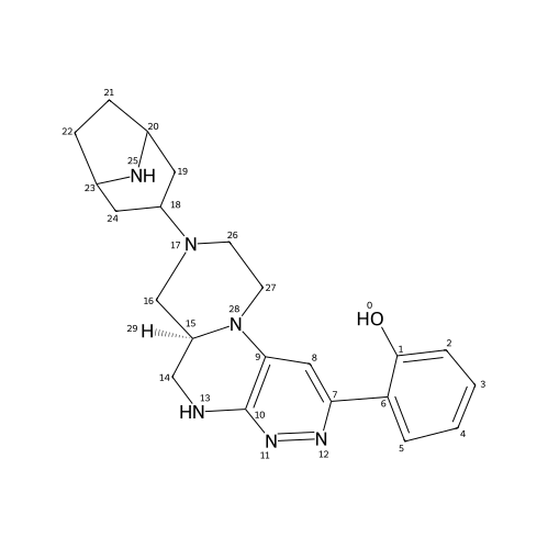 Oc1ccccc1-c1cc2c(nn1)NC[C@H]1CN(C3CC4CCC(C3)N4)CCN21